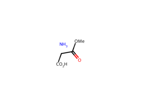 COC(=O)CC(=O)O.N